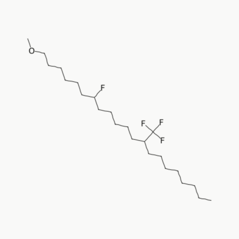 CCCCCCCCC(CCCCCC(F)CCCCCCOC)C(F)(F)F